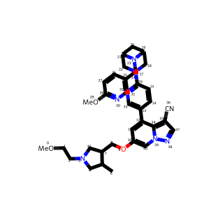 COCCN1CC(C)C(COc2cc(-c3ccc(N4CC5CC(C4)N5Cc4ccc(OC)nc4)nc3)c3c(C#N)cnn3c2)C1